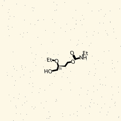 CCNC(=O)OCC[C@@H](CO)OCC